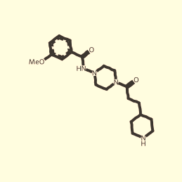 COc1cccc(C(=O)NN2CCN(C(=O)CCC3CCNCC3)CC2)c1